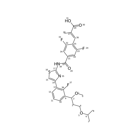 COC(CCOC(C)C)c1cccc(-c2csc(NC(=O)c3cc(F)c(C=C(C)C(=O)O)c(F)c3)n2)c1F